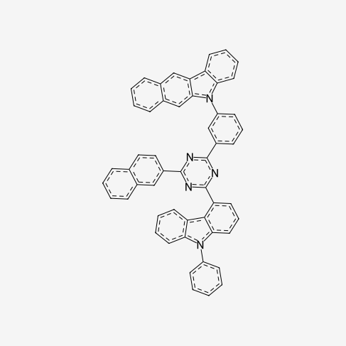 c1ccc(-n2c3ccccc3c3c(-c4nc(-c5cccc(-n6c7ccccc7c7cc8ccccc8cc76)c5)nc(-c5ccc6ccccc6c5)n4)cccc32)cc1